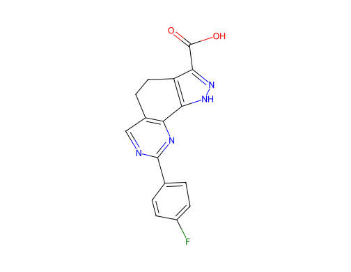 O=C(O)c1n[nH]c2c1CCc1cnc(-c3ccc(F)cc3)nc1-2